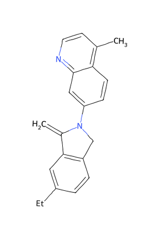 C=C1c2cc(CC)ccc2CN1c1ccc2c(C)ccnc2c1